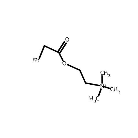 CC(C)CC(=O)OCC[N+](C)(C)C